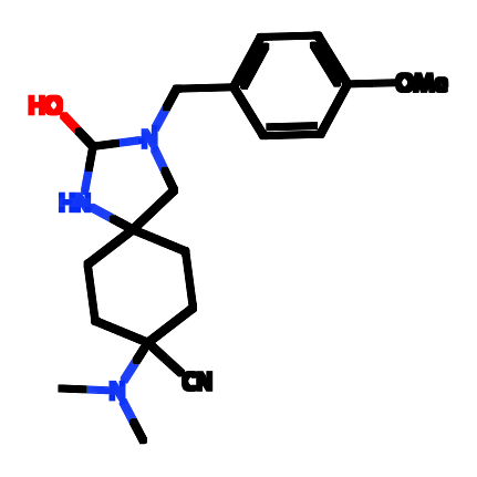 COc1ccc(CN2CC3(CCC(C#N)(N(C)C)CC3)NC2O)cc1